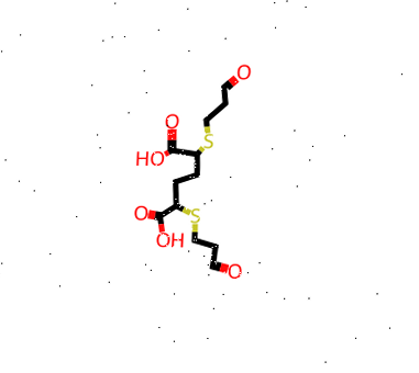 O=CCCSC(CCC(SCCC=O)C(=O)O)C(=O)O